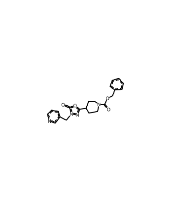 O=C(OCc1ccccc1)N1CCC(c2nn(Cc3cccnc3)c(=O)o2)CC1